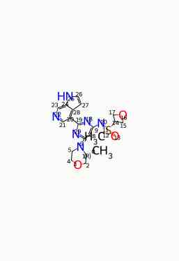 C[C@@H]1COCCN1c1cc(N=S(C)(=O)C2COC2)nc(-c2cncc3[nH]ccc23)n1